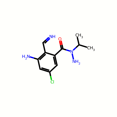 CC(C)N(N)C(=O)c1cc(Cl)cc(N)c1C=N